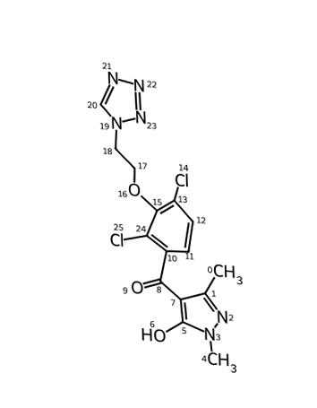 Cc1nn(C)c(O)c1C(=O)c1ccc(Cl)c(OCCn2cnnn2)c1Cl